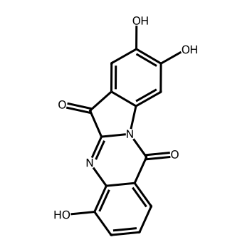 O=C1c2cc(O)c(O)cc2-n2c1nc1c(O)cccc1c2=O